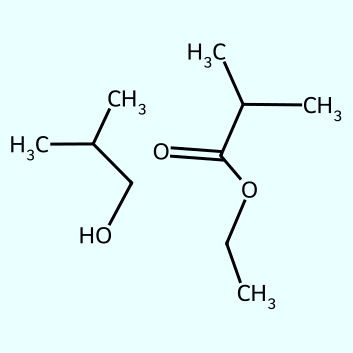 CC(C)CO.CCOC(=O)C(C)C